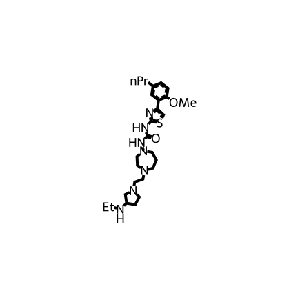 CCCc1ccc(OC)c(-c2csc(NC(=O)NN3CCCN(CCN4CCC(NCC)C4)CC3)n2)c1